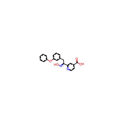 O=C(O)c1ccnc(/C(Cc2cccc(Oc3ccccc3)c2)=N/O)c1